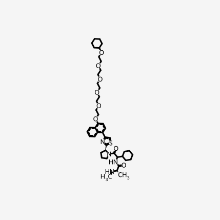 CN[C@@H](C)C(=O)NC(C(=O)N1CCC[C@H]1c1nc(-c2ccc(OCCOCCOCCOCCOCCOC3CCCCC3)c3ccccc23)cs1)C1CCCCC1